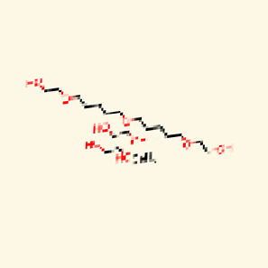 OCCO.OCCO.OCCOCCCCCOCCCCCOCCO.[CaH2]